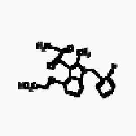 Cc1c(C(=O)C(N)=O)c2c(OCC(=O)O)cccc2n1Cc1ccccc1F